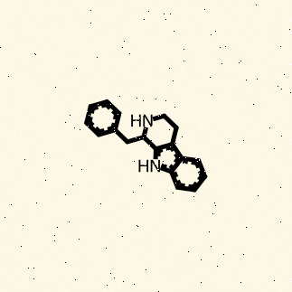 c1ccc(CC2NCCc3c2[nH]c2ccccc32)cc1